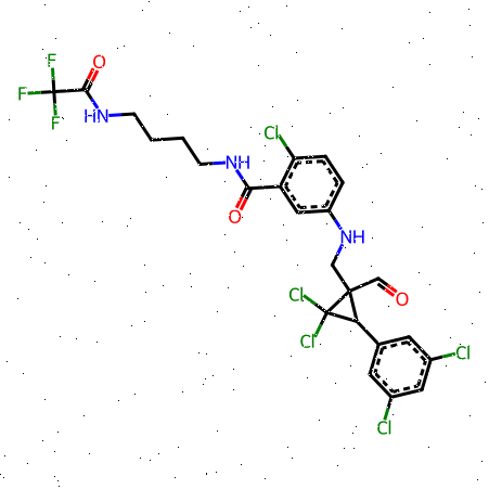 O=CC1(CNc2ccc(Cl)c(C(=O)NCCCCNC(=O)C(F)(F)F)c2)C(c2cc(Cl)cc(Cl)c2)C1(Cl)Cl